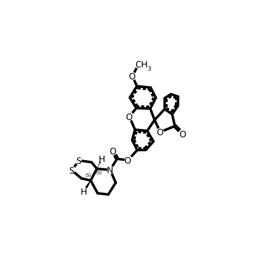 COc1ccc2c(c1)Oc1cc(OC(=O)N3CCC[C@@H]4CSSC[C@H]43)ccc1C21OC(=O)c2ccccc21